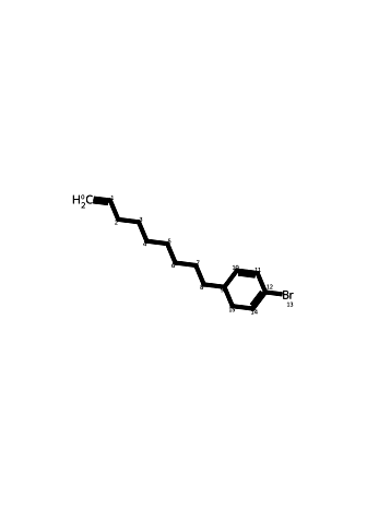 C=CCCCCCCCC1C=CC(Br)=CC1